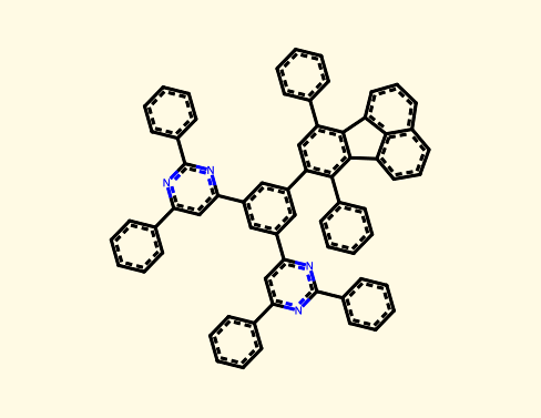 c1ccc(-c2cc(-c3cc(-c4cc(-c5ccccc5)nc(-c5ccccc5)n4)cc(-c4cc(-c5ccccc5)c5c(c4-c4ccccc4)-c4cccc6cccc-5c46)c3)nc(-c3ccccc3)n2)cc1